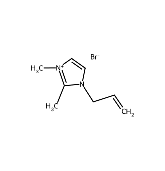 C=CCn1cc[n+](C)c1C.[Br-]